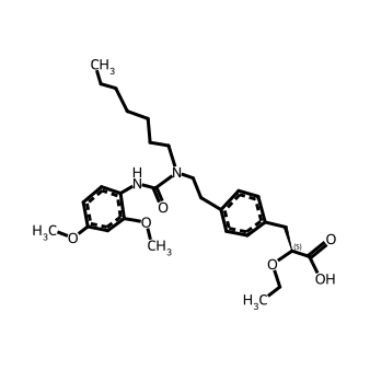 CCCCCCCN(CCc1ccc(C[C@H](OCC)C(=O)O)cc1)C(=O)Nc1ccc(OC)cc1OC